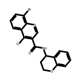 O=C(NC1CCOc2ccccc21)c1cnc2c(Br)cccc2c1Cl